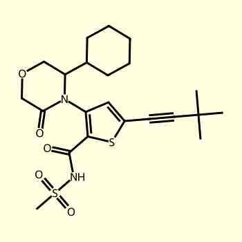 CC(C)(C)C#Cc1cc(N2C(=O)COCC2C2CCCCC2)c(C(=O)NS(C)(=O)=O)s1